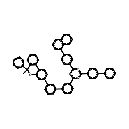 CC1(c2ccccc2)Oc2cc(-c3cccc(-c4cccc(-c5nc(-c6ccc(-c7ccccc7)cc6)nc(-c6ccc(-c7cccc8ccccc78)cc6)n5)c4)c3)ccc2-c2ccccc21